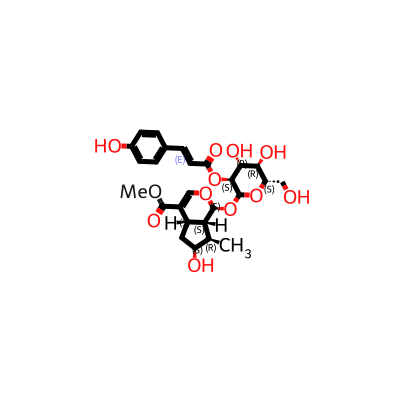 COC(=O)C1=CO[C@@H](OC2O[C@@H](CO)[C@H](O)[C@@H](O)[C@@H]2OC(=O)/C=C/c2ccc(O)cc2)[C@@H]2[C@@H](C)[C@@H](O)C[C@H]12